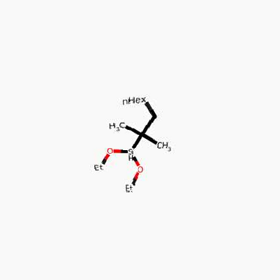 CCCCCCCC(C)(C)[SiH](OCC)OCC